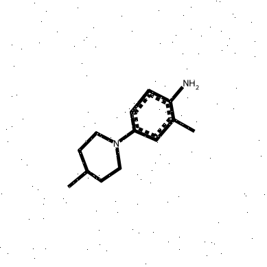 Cc1cc(N2CCC(C)CC2)ccc1N